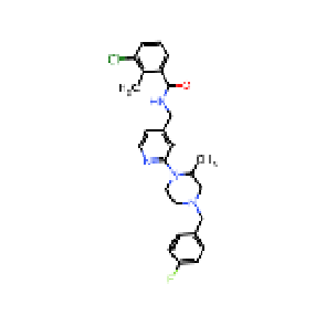 Cc1c(Cl)cccc1C(=O)NCc1ccnc(N2CCN(Cc3ccc(F)cc3)CC2C)c1